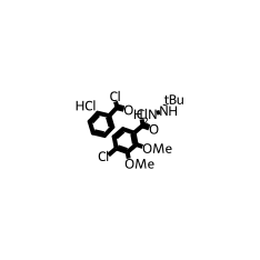 CC(C)(C)NN.COc1c(Cl)ccc(C(=O)Cl)c1OC.Cl.O=C(Cl)c1ccccc1